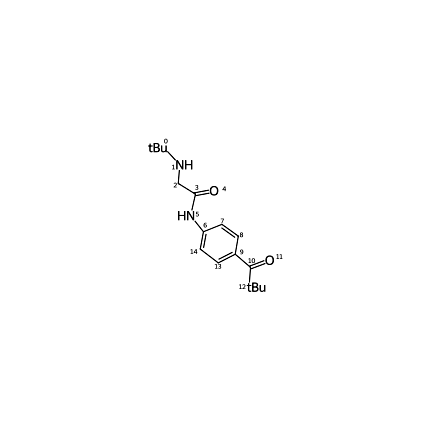 CC(C)(C)NCC(=O)Nc1ccc(C(=O)C(C)(C)C)cc1